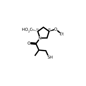 CCO[C@@H]1C[C@@H](C(=O)O)N(C(=O)C(C)CS)C1